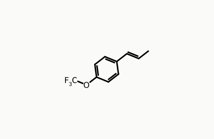 C/C=C/c1ccc(OC(F)(F)F)cc1